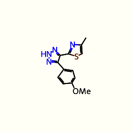 COc1ccc(-c2n[nH]nc2-c2nc(C)cs2)cc1